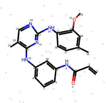 C=CC(=O)Nc1cccc(Nc2nc(Nc3ccc(C)cc3OC)ncc2C)c1